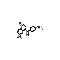 CN(C)c1ccc2nccc(Nc3ccc(N)cc3)c2c1.Cl